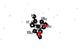 CC(C)(C)c1ccc(N2c3cc(-c4ccccc4)ccc3B3c4ccc(C(C)(C)C)cc4N(c4ccc(C(C)(C)C)cc4-c4ccccc4)c4cc(N5c6ccc(-c7cccnc7)cc6C6(C)CCCCC56C)cc2c43)c(-c2ccccc2)c1